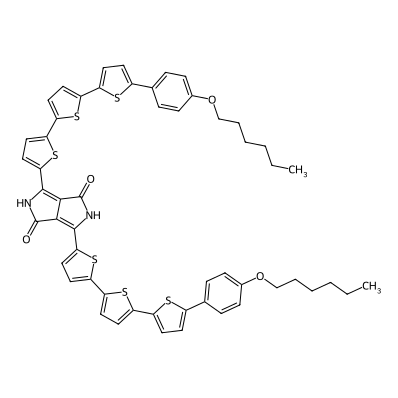 CCCCCCOc1ccc(-c2ccc(-c3ccc(-c4ccc(C5=C6C(=O)NC(c7ccc(-c8ccc(-c9ccc(-c%10ccc(OCCCCCC)cc%10)s9)s8)s7)=C6C(=O)N5)s4)s3)s2)cc1